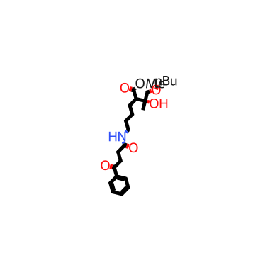 CCCCOCC(C)(O)C(CCCCNC(=O)CCC(=O)c1ccccc1)C(=O)OC